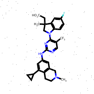 CN1CCc2c(cc(Nc3ncc(C(F)(F)F)c(N4CC(C)(CC(=O)O)c5cc(F)ccc54)n3)cc2C2CC2)C1